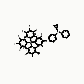 Fc1c(F)c(F)c([B-](c2c(F)c(F)c(F)c(F)c2F)(c2c(F)c(F)c(F)c(F)c2F)c2c(F)c(F)c(F)c(F)c2F)c(F)c1F.c1ccc([S+](c2ccccc2)C2CC2)cc1